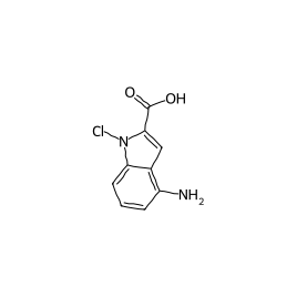 Nc1cccc2c1cc(C(=O)O)n2Cl